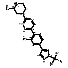 [2H]C([2H])([2H])n1cc(-c2ccc(-c3cnc(N4CCNC(CC)C4)nn3)c(O)c2)cn1